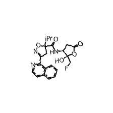 CC(C)C1(C(=O)N[C@H]2CC(=O)O[C@]2(O)CF)CC(c2nccc3ccccc23)=NO1